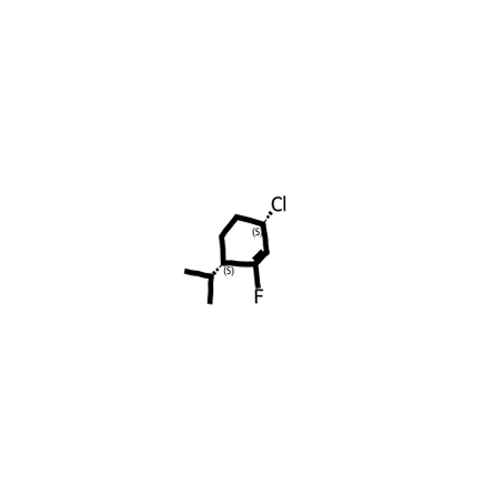 CC(C)[C@@H]1CC[C@H](Cl)C=C1F